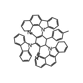 Cc1ccc(C2C(n3c4ccccc4c4ccc5c(c43)CCC=C5)=C(C#N)C(n3c4ccccc4c4ccccc43)=C(C#N)C2n2c3c(c4ccc5ccccc5c42)C=CCC3)cc1